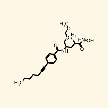 CCCCCC#Cc1ccc(C(=O)NC(COCOC)CC(C)C(=O)NO)cc1